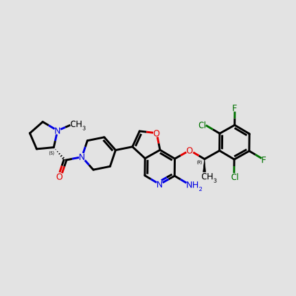 C[C@@H](Oc1c(N)ncc2c(C3=CCN(C(=O)[C@@H]4CCCN4C)CC3)coc12)c1c(Cl)c(F)cc(F)c1Cl